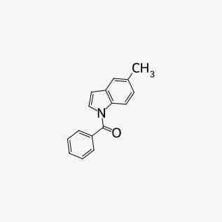 Cc1ccc2c(ccn2C(=O)c2ccccc2)c1